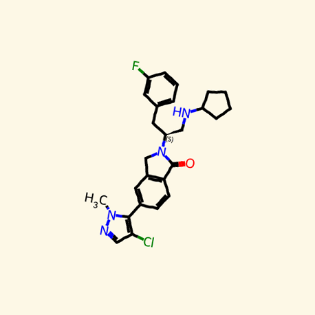 Cn1ncc(Cl)c1-c1ccc2c(c1)CN([C@H](CNC1CCCC1)Cc1cccc(F)c1)C2=O